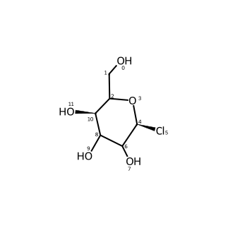 OCC1O[C@@H](Cl)C(O)C(O)[C@H]1O